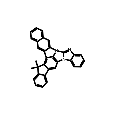 CC1(C)c2ccccc2-c2cc3c4c(c21)c1cc2ccccc2cc1n4c1nc2ccccc2n31